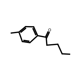 CCCCC(=O)c1ccc(C)cc1